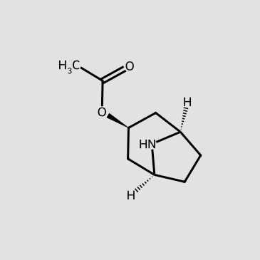 CC(=O)O[C@H]1C[C@H]2CC[C@@H](C1)N2